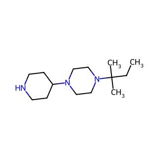 CCC(C)(C)N1CCN(C2CCNCC2)CC1